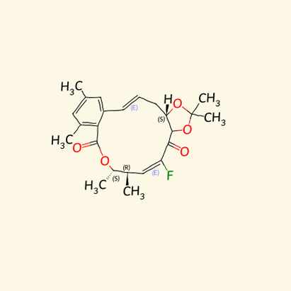 Cc1cc(C)c2c(c1)/C=C/C[C@@H]1OC(C)(C)OC1C(=O)/C(F)=C\[C@@H](C)[C@H](C)OC2=O